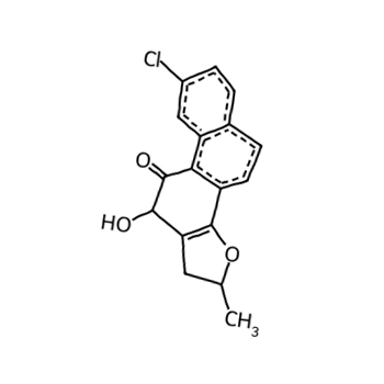 CC1CC2=C(O1)c1ccc3ccc(Cl)cc3c1C(=O)C2O